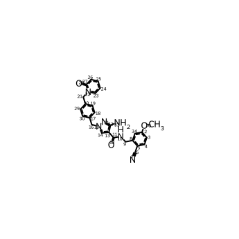 COc1ccc(C#N)c(CNC(=O)c2cn(Cc3ccc(Cn4ccccc4=O)cc3)nc2N)c1